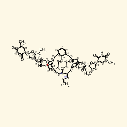 C=C/C=C1Cc2cc(NC(=O)[C@H]3O[C@@H](n4cc(C)c(=O)[nH]c4=O)C[C@@H]3C)cc(c2OCCC)Cc2cccc(c2OCCC)Cc2cc(NC(=O)C[C@H]3C[C@H](n4cc(C)c(=O)[nH]c4=O)O[C@@H]3CC)cc(c2OCCC)C/C=C/1OCCC